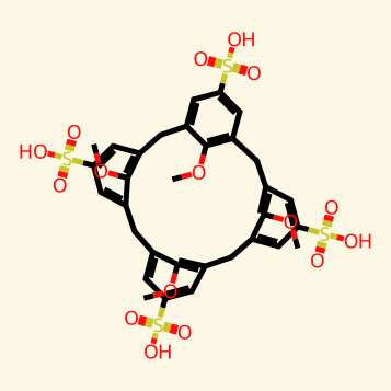 COc1c2cc(S(=O)(=O)O)cc1Cc1cc(S(=O)(=O)O)cc(c1OC)Cc1cc(S(=O)(=O)O)cc(c1OC)Cc1cc(S(=O)(=O)O)cc(c1OC)C2